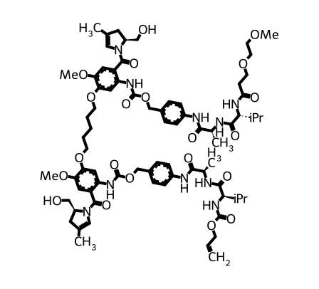 C=CCOC(=O)N[C@@H](C(=O)N[C@H](C)C(=O)Nc1ccc(COC(=O)Nc2cc(OCCCCCOc3cc(NC(=O)OCc4ccc(NC(=O)[C@@H](C)NC(=O)[C@H](NC(=O)CCOCCOC)C(C)C)cc4)c(C(=O)N4C=C(C)C[C@H]4CO)cc3OC)c(OC)cc2C(=O)N2C=C(C)C[C@H]2CO)cc1)C(C)C